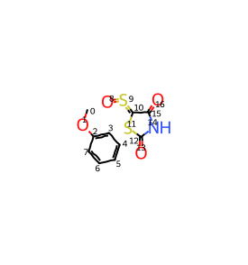 COc1ccccc1.O=S=C1SC(=O)NC1=O